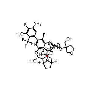 Cc1c(F)c(N)cc(-c2nc3c4c(nc(OCC5(CO)CCOC5)nc4c2F)N2C[C@H]4CC[C@@H]([C@H]2[C@H](C)O3)N4C(=O)OC(C)(C)C)c1C(F)(F)F